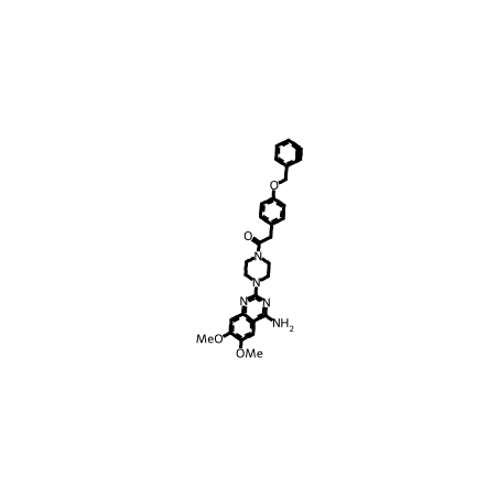 COc1cc2nc(N3CCN(C(=O)Cc4ccc(OCc5c#cccc5)cc4)CC3)nc(N)c2cc1OC